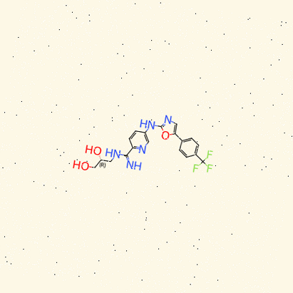 N=C(NC[C@@H](O)CO)c1ccc(Nc2ncc(-c3ccc(C(F)(F)F)cc3)o2)cn1